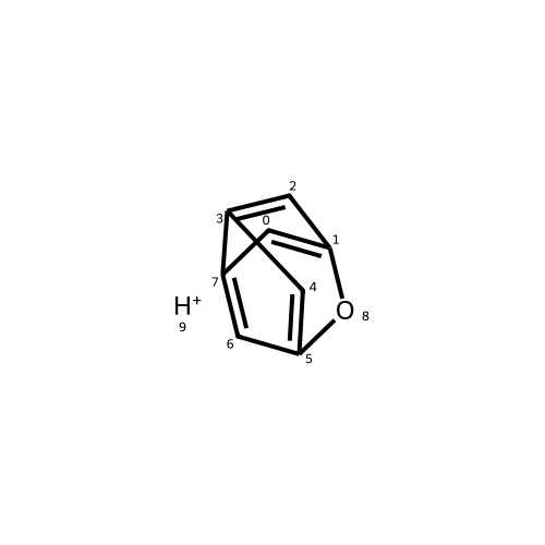 C1=C2C=C3C=C(C=C13)O2.[H+]